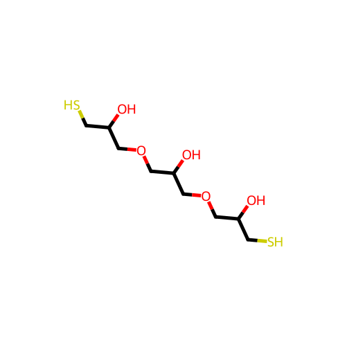 OC(CS)COCC(O)COCC(O)CS